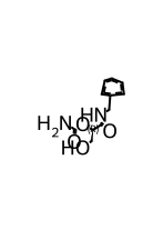 NC(=O)O[C@H](CO)C(=O)NCc1ccccc1